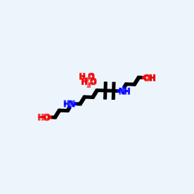 CC(C)(CCCCNCCCO)C(C)(C)NCCCO.O.O